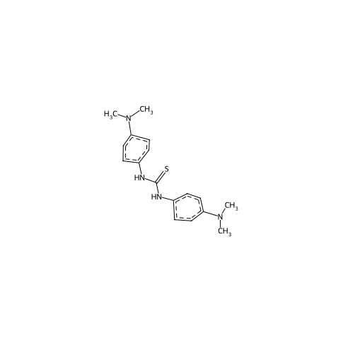 CN(C)c1ccc(NC(=S)Nc2ccc(N(C)C)cc2)cc1